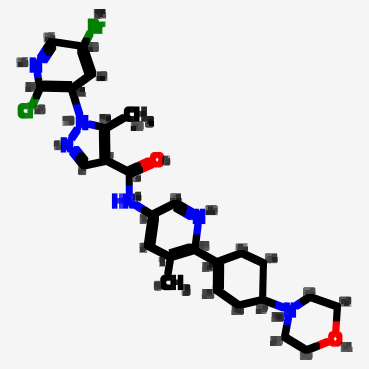 Cc1cc(NC(=O)c2cnn(-c3cc(Br)cnc3Cl)c2C)cnc1C1=CCC(N2CCOCC2)CC1